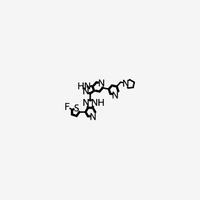 Fc1ccc(-c2cncc3[nH]c(-c4n[nH]c5cnc(-c6cncc(CN7CCCC7)c6)cc45)nc23)s1